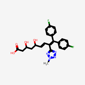 Cn1nnc(C(/C=C/C(O)CC(O)CC(=O)O)=C(c2ccc(F)cc2)c2ccc(F)cc2)n1